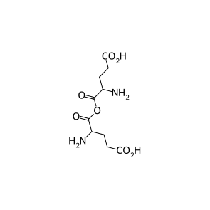 NC(CCC(=O)O)C(=O)OC(=O)C(N)CCC(=O)O